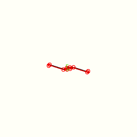 C=CC(=O)OCCCCCCCCCCCCCCCCCCCCOc1ccc(C(=O)Oc2cc(F)c(OC(=O)c3ccc(OCCCCCCCCCCCCCCCCCCCCOC(=O)C=C)cc3)c(F)c2F)cc1